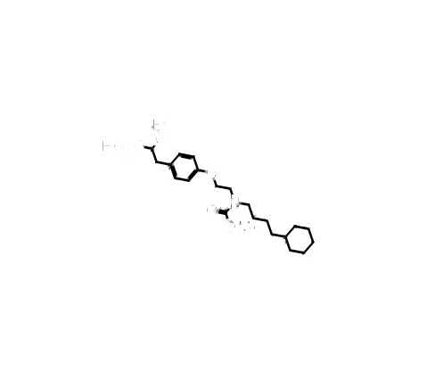 CCOC(Cc1ccc(OCCN(CCCCC2CCCCC2)C(=O)OC)cc1)C(=O)O